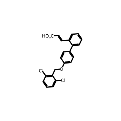 O=C(O)/C=C/c1ccccc1-c1ccc(OCc2c(Cl)cccc2Cl)cc1